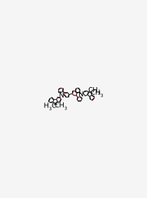 CC1(C)C2=C(CC(N(c3ccccc3)c3ccccc3C3C=CC=C(c4ccc5c(c4)c4ccccc4n5C4=CC5c6ccccc6C(C)(C)C5C=C4)C3)C=C2)c2ccccc21